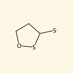 [S]C1CCOS1